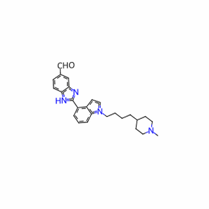 CN1CCC(CCCCn2ccc3c(-c4nc5cc(C=O)ccc5[nH]4)cccc32)CC1